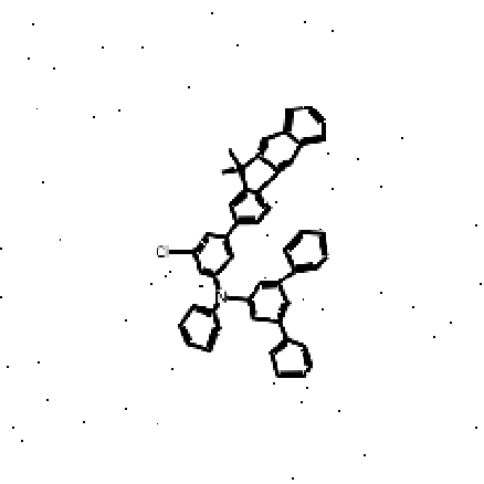 CC1(C)c2cc(-c3cc(Cl)cc(N(c4ccccc4)c4cc(-c5ccccc5)cc(-c5ccccc5)c4)c3)ccc2-c2cc3ccccc3cc21